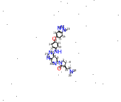 C[C@H]1CN(c2cc3c(Nc4ccc(Oc5ccc6c(c5)nnn6C)cc4)ncnc3cn2)C(=O)/C1=C/CN(C)C